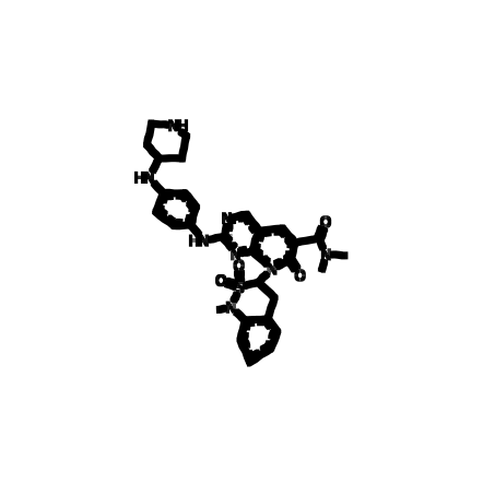 CN(C)C(=O)c1cc2cnc(Nc3ccc(NC4CCNCC4)cc3)nc2n(C2Cc3ccccc3N(C)S2(=O)=O)c1=O